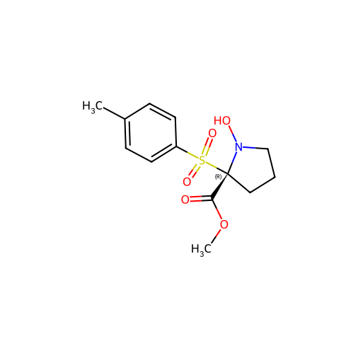 COC(=O)[C@]1(S(=O)(=O)c2ccc(C)cc2)CCCN1O